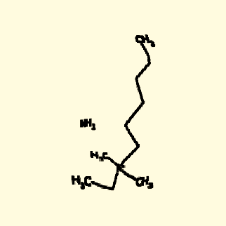 CCCCCC[N+](C)(C)CC.N